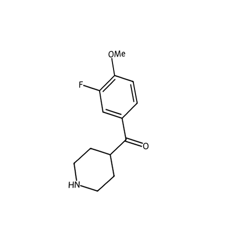 COc1ccc(C(=O)C2CCNCC2)cc1F